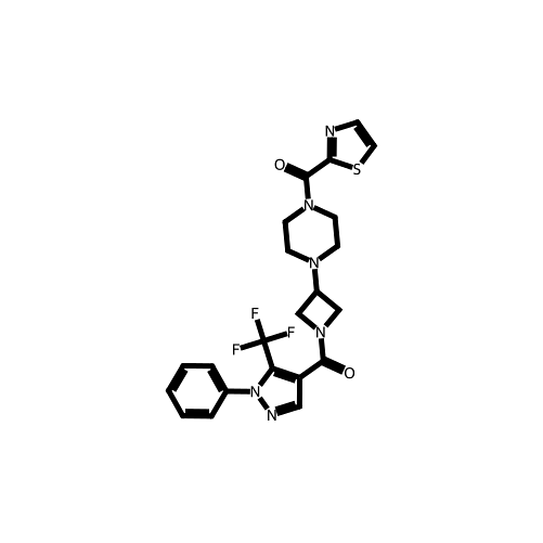 O=C(c1nccs1)N1CCN(C2CN(C(=O)c3cnn(-c4ccccc4)c3C(F)(F)F)C2)CC1